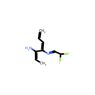 C=C/C=C(/N=C/C(F)F)C(\N)=C/C